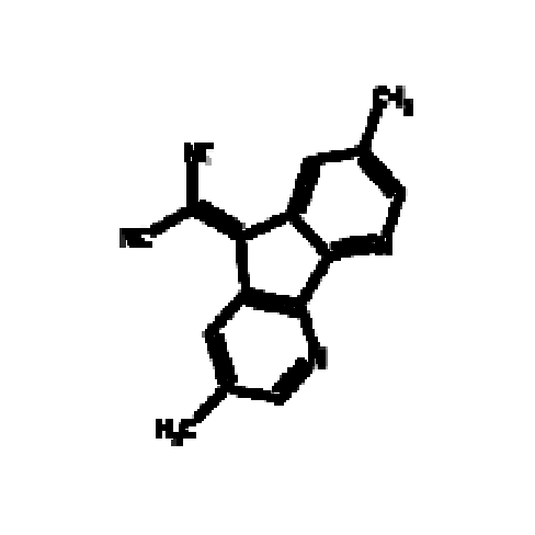 [C-]#[N+]C(C#N)=C1c2cc(C)cnc2-c2ncc(C)cc21